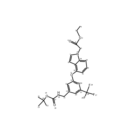 CCOC(=O)Cn1ccc2c(Oc3cc(CNC(=O)OC(C)(C)C)cc(C(F)(F)F)n3)cccc21